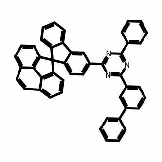 c1ccc(-c2cccc(-c3nc(-c4ccccc4)nc(-c4ccc5c(c4)-c4ccccc4C54c5cccc6ccc7cccc4c7c56)n3)c2)cc1